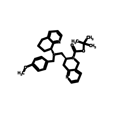 COc1ccc(CN(C[C@@H]2Cc3ncccc3CN2C(=O)OC(C)(C)C)[C@H]2CCCc3cccnc32)cc1